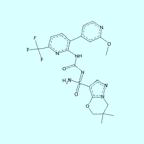 COc1cc(-c2ccc(C(F)(F)F)nc2NC(=O)N=S(N)(=O)c2cnn3c2OCC(C)(C)C3)ccn1